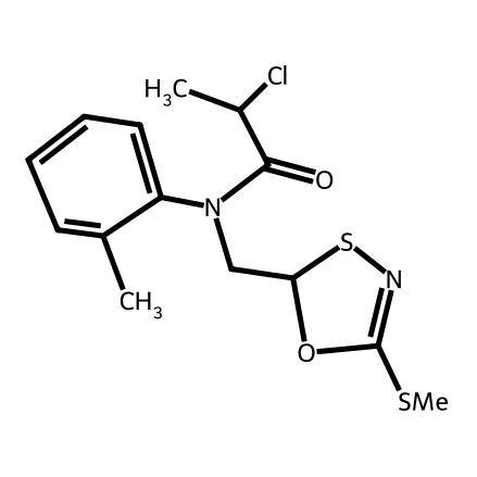 CSC1=NSC(CN(C(=O)C(C)Cl)c2ccccc2C)O1